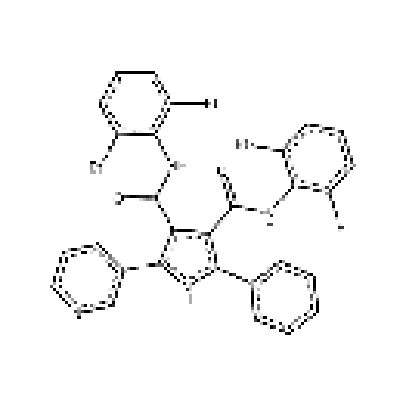 CCc1cccc(CC)c1NC(=O)c1c(-c2ccccc2)[nH]c(-c2cccnc2)c1C(=O)Nc1c(CC)cccc1CC